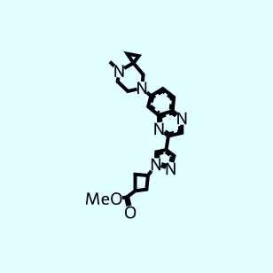 COC(=O)C1CC(n2cc(-c3cnc4ccc(N5CCN(C)C6(CC6)C5)cc4n3)cn2)C1